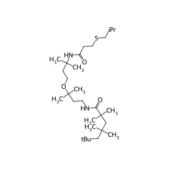 CC(C)CSCCC(=O)NC(C)(C)CCOC(C)(C)CCNC(=O)C(C)(C)CC(C)(C)CC(C)(C)C